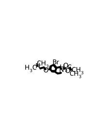 CN(C)CCOc1cc(Br)c2c(c1)CCN(C(=O)OC(C)(C)C)C2